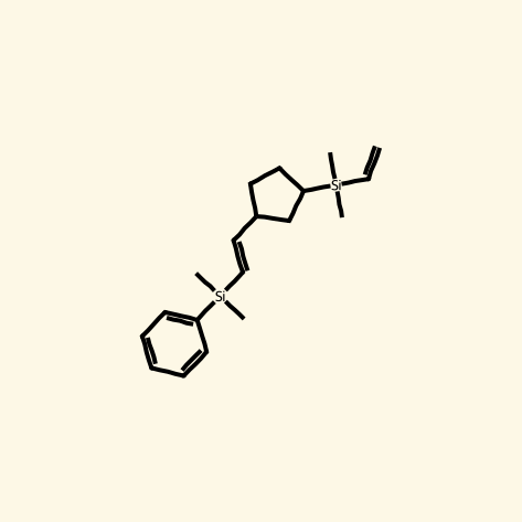 C=C[Si](C)(C)C1CCC(/C=C/[Si](C)(C)c2ccccc2)C1